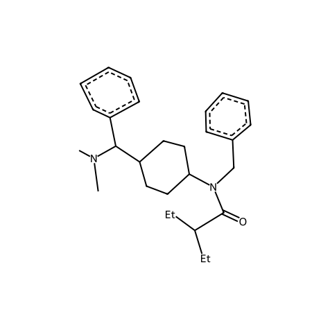 CCC(CC)C(=O)N(Cc1ccccc1)C1CCC(C(c2ccccc2)N(C)C)CC1